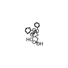 O=C(O)CC(SP(=O)(Oc1ccccc1)Oc1ccccc1)C(=O)O